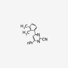 CCCc1cc(-c2cccc(C)c2C)nc(C#N)n1